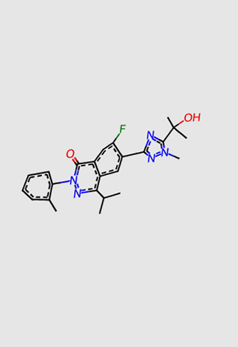 Cc1ccccc1-n1nc(C(C)C)c2cc(-c3nc(C(C)(C)O)n(C)n3)c(F)cc2c1=O